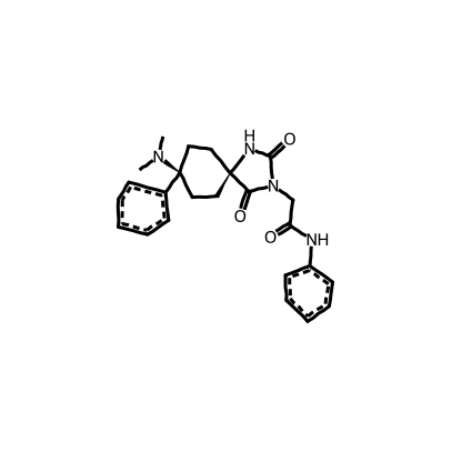 CN(C)[C@]1(c2ccccc2)CC[C@@]2(CC1)NC(=O)N(CC(=O)Nc1ccccc1)C2=O